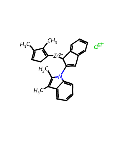 CC1=CC[C]([Zr+2][CH]2C(n3c(C)c(C)c4ccccc43)=Cc3ccccc32)=C1C.[Cl-].[Cl-]